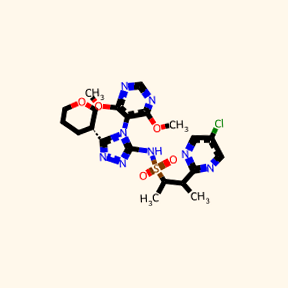 COc1ncnc(OC)c1-n1c(NS(=O)(=O)C(C)C(C)c2ncc(Cl)cn2)nnc1[C@@H]1CCCOC1